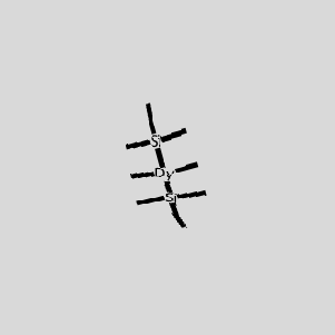 C[Si](C)(C)[Dy]([CH3])([CH3])[Si](C)(C)C